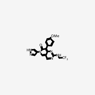 COc1ccc(-c2c(=O)n(-c3cn[nH]c3)cc3cnc(NCC(F)(F)F)nc23)cc1